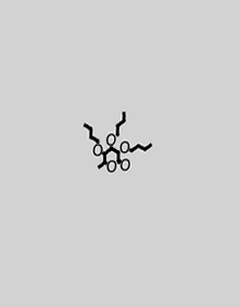 CCCCOC1C(=O)OC(C)C(OCCCC)C1OCCCC